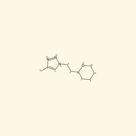 Cc1cn(CCC2CCCCO2)nn1